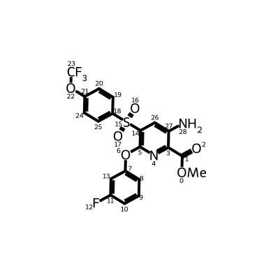 COC(=O)c1nc(Oc2cccc(F)c2)c(S(=O)(=O)c2ccc(OC(F)(F)F)cc2)cc1N